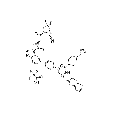 N#C[C@@H]1CC(F)(F)CN1C(=O)CNC(=O)c1ccnc2ccc(-c3ccc(OC[C@H](Cc4ccc5ccccc5c4)NC(=O)C4CCC(CN)CC4)cc3)cc12.O=C(O)C(F)(F)F